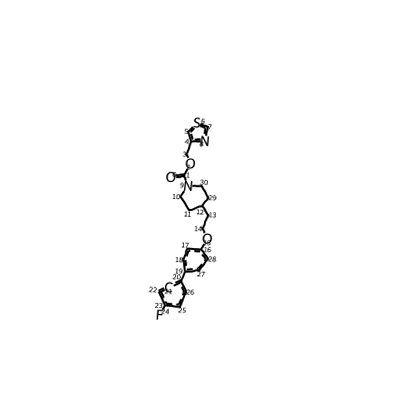 O=C(OCc1cscn1)N1CCC(CCOc2ccc(-c3ccc(F)cc3)cc2)CC1